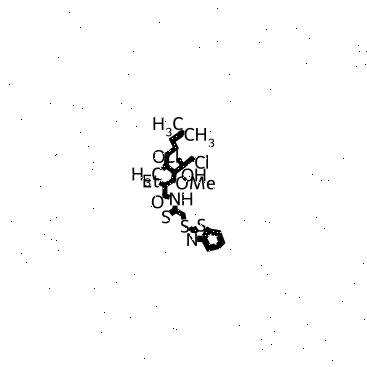 CCC(C(=O)NC(=S)CSc1nc2ccccc2s1)C(OC)C(C(O)(Cl)CCl)C1(C)OC1CC=C(C)C